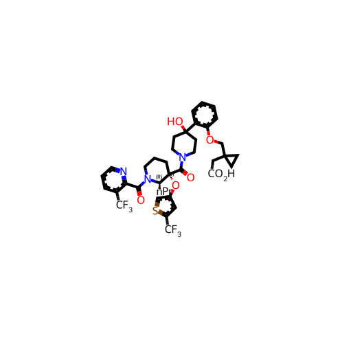 CCC[C@H]1N(C(=O)c2ncccc2C(F)(F)F)CCC[C@@]1(Oc1csc(C(F)(F)F)c1)C(=O)N1CCC(O)(c2ccccc2OCC2(CC(=O)O)CC2)CC1